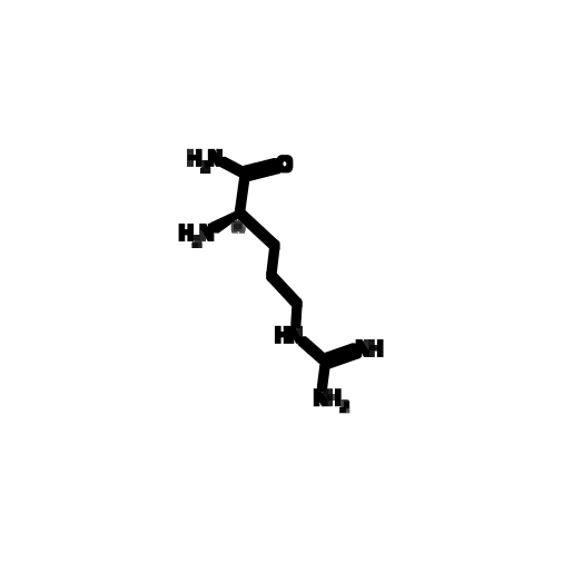 N=C(N)NCCC[C@@H](N)C(N)=O